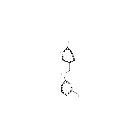 Fc1cccc(NCc2ccc(Cl)nc2)n1